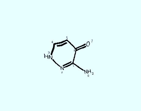 Nc1n[nH]ccc1=O